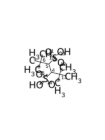 CC(C)(C)C(C(C(C)(C)C)S(=O)(=O)O)S(=O)(=O)O